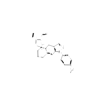 C=C[C@H]1OC2(CCCC3=Cc4c(cnn4-c4ccc(OC)cc4)C[C@@]32C)O[C@@H]1C=C